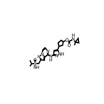 CC(C)S(=N)(=O)Cc1cc2c(Nc3cc(C4CCC(OC(=O)NC5(C)CC5)C4)[nH]n3)nccn2n1